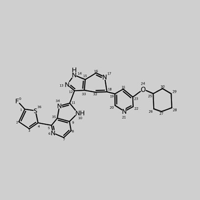 Fc1ccc(-c2nccc3[nH]c(-c4n[nH]c5cnc(-c6cncc(OC7CCCCC7)c6)cc45)nc23)s1